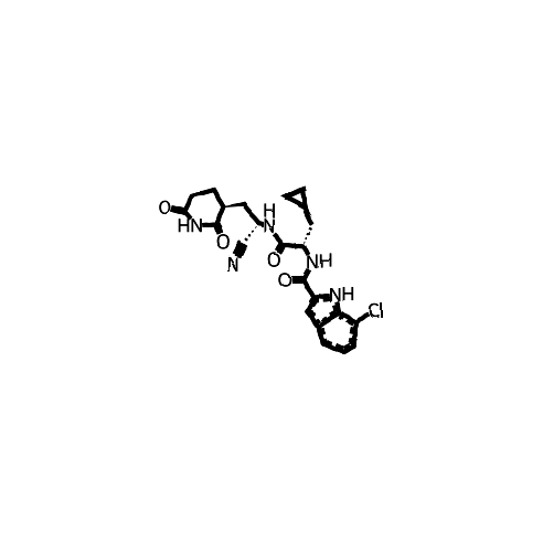 N#C[C@H](C[C@@H]1CCC(=O)NC1=O)NC(=O)[C@H](CC1CC1)NC(=O)c1cc2cccc(Cl)c2[nH]1